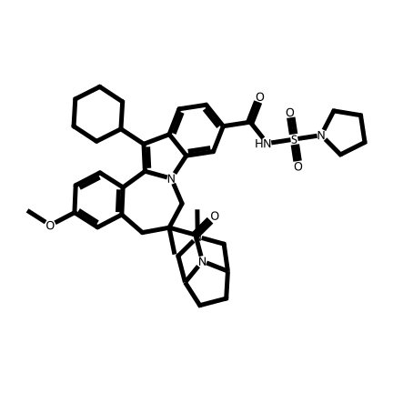 COc1ccc2c(c1)CC(C)(C(=O)N1C3CCC1CN(C)C3)Cn1c-2c(C2CCCCC2)c2ccc(C(=O)NS(=O)(=O)N3CCCC3)cc21